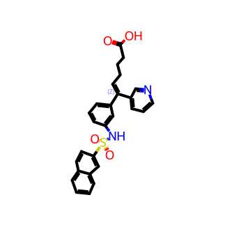 O=C(O)CCC/C=C(\c1cccnc1)c1cccc(NS(=O)(=O)c2ccc3ccccc3c2)c1